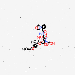 C#CCCOc1ccc(CO[C@]2(C(=O)O)C[C@H](O)[C@@H](NC(=O)CO)[C@H]([C@H](O)[C@H](O)CNC(=O)Cc3ccccc3N3CCOCC3)O2)cc1